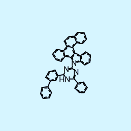 c1ccc(C2=NC(n3c4ccccc4c4c5c6ccccc6ccc5c5ccccc5c43)=NC(c3cccc(-c4ccccc4)c3)N2)cc1